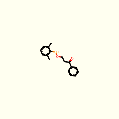 Cc1cccc(C)c1POCCC(=O)c1ccccc1